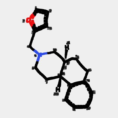 c1coc(CN2CC[C@H]3c4ccccc4CC[C@@H]3C2)c1